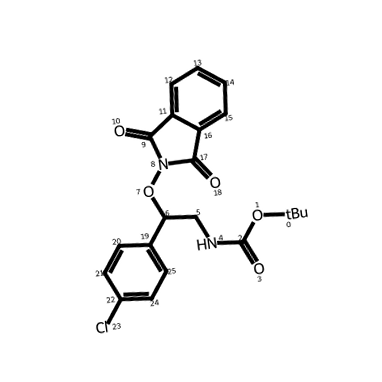 CC(C)(C)OC(=O)NCC(ON1C(=O)c2ccccc2C1=O)c1ccc(Cl)cc1